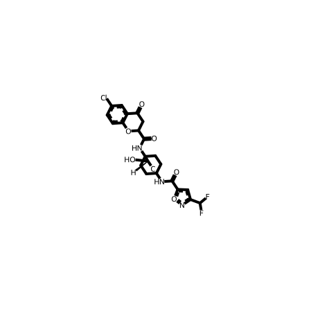 O=C(NC12CCC(NC(=O)C3CC(=O)c4cc(Cl)ccc4O3)(CC1)[C@@H](O)C2)c1cc(C(F)F)no1